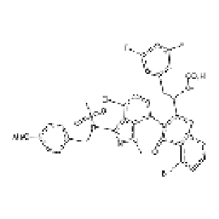 COc1ccc(CN(c2nn(C)c3c(-n4c(C(Cc5cc(F)cc(F)c5)NC(=O)O)nc5cccc(Br)c5c4=O)ccc(Cl)c23)S(C)(=O)=O)cc1